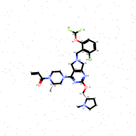 C=CC(=O)N1CCN(c2nc(OC[C@@H]3CCCN3C)nc3c2CN(Cc2c(Cl)cccc2OC(F)F)C3)C[C@@H]1C